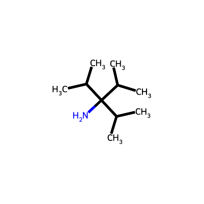 CC(C)C(N)(C(C)C)C(C)C